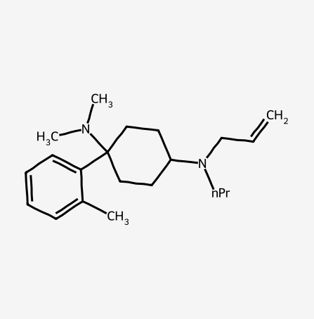 C=CCN(CCC)C1CCC(c2ccccc2C)(N(C)C)CC1